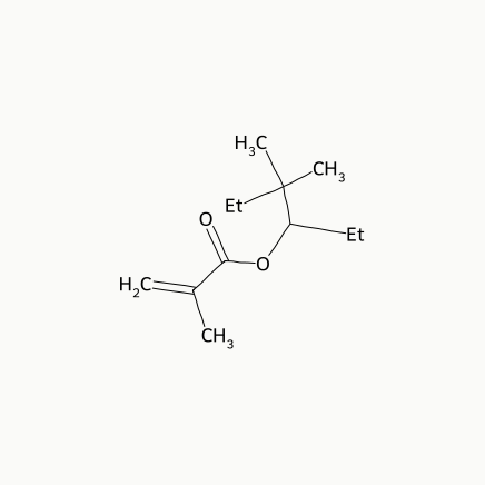 C=C(C)C(=O)OC(CC)C(C)(C)CC